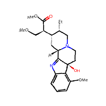 CC[C@@H]1CN2CC[C@@]3(O)C(=Nc4cccc(OC)c43)[C@@H]2C[C@@H]1[C@@H](COC)C(=O)OC